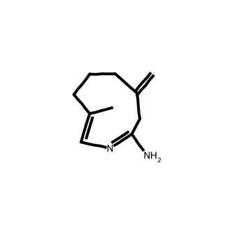 C=C1CCC/C(C)=C/N=C(/N)C1